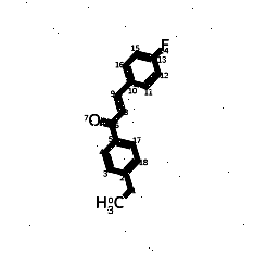 CCc1ccc(C(=O)/C=C/c2ccc(F)cc2)cc1